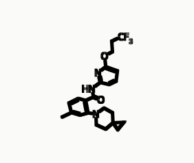 Cc1ccc(C(=O)Nc2cccc(OCCC(F)(F)F)n2)c(N2CCC3(CC2)CC3)c1